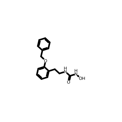 O=C(NO)NCCc1ccccc1OCc1ccccc1